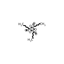 CCCCCC(N=O)n1c(=O)n(C(CCCCC)N=O)c(=O)n(C(CCCCC)N=O)c1=O